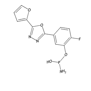 NP(O)Oc1cc(-c2nnc(-c3ccco3)o2)ccc1F